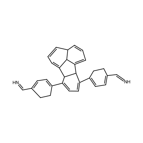 N=CC1=CC=C(C2=CC=C(C3=CC=C(C=N)CC3)C3C4=CC=CC5C=CC=C(C45)C23)CC1